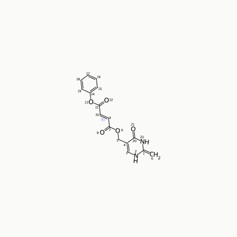 C=C1NC=C(COC(=O)/C=C/C(=O)Oc2ccccc2)C(=O)N1